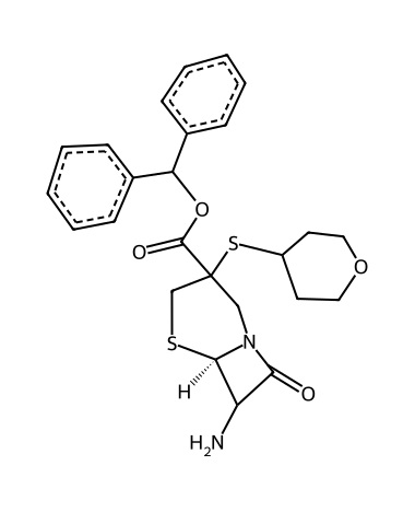 NC1C(=O)N2CC(SC3CCOCC3)(C(=O)OC(c3ccccc3)c3ccccc3)CS[C@H]12